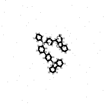 c1ccc(N(c2ccc(-c3cncc4c3oc3ccccc34)cc2)c2cccc(-c3ccc(-n4c5ccccc5c5ccccc54)cc3)c2)cc1